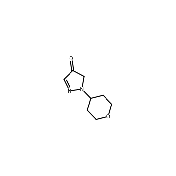 O=C1C=NN(C2CCOCC2)C1